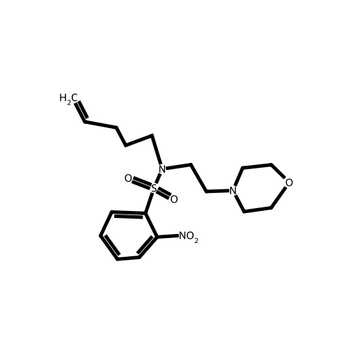 C=CCCCN(CCN1CCOCC1)S(=O)(=O)c1ccccc1[N+](=O)[O-]